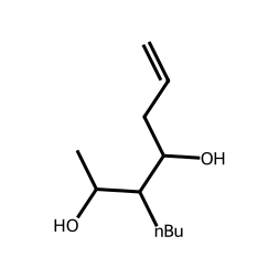 C=CCC(O)C(CCCC)C(C)O